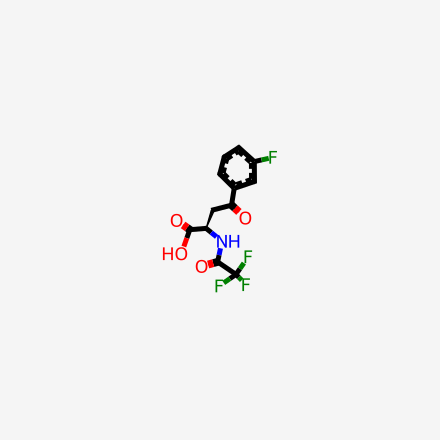 O=C(C[C@@H](NC(=O)C(F)(F)F)C(=O)O)c1cccc(F)c1